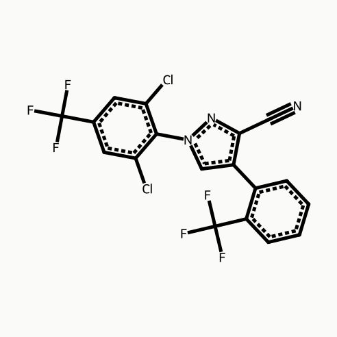 N#Cc1nn(-c2c(Cl)cc(C(F)(F)F)cc2Cl)cc1-c1ccccc1C(F)(F)F